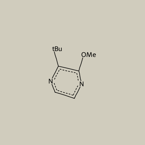 COc1nccnc1C(C)(C)C